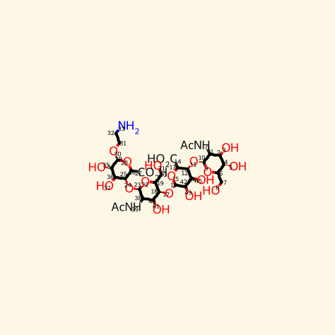 CC(=O)NC1C(O)[C@H](O)C(CO)O[C@@H]1O[C@@H]1C(C(=O)O)O[C@@H](O[C@@H]2C(CO)O[C@H](O[C@@H]3C(C(=O)O)O[C@@H](OCCN)[C@@H](O)C3O)C(NC(C)=O)C2O)C(O)C1O